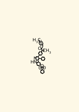 CN1CCN(CC(=O)N(C)c2ccc(-c3cnc4[nH]c5ccc(OS(=O)(=O)c6ccccc6)cc5c4c3-c3ccccc3)cc2)CC1